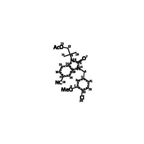 COc1cc(Cn2c(=O)n(C(C)(C)COC(C)=O)c3ccc(C#N)cc32)ccc1Cl